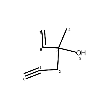 C#CCC(C)(O)C=C